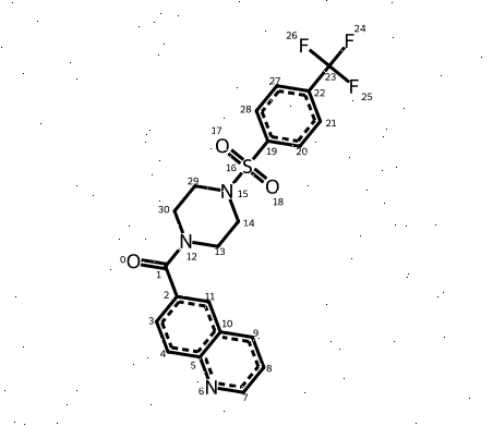 O=C(c1ccc2ncccc2c1)N1CCN(S(=O)(=O)c2ccc(C(F)(F)F)cc2)CC1